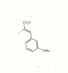 COc1cccc(/C=C(\F)C(=O)O)c1